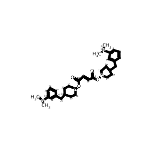 CN(C)c1cccc(CC2CCN(OC(=O)/C=C/C(=O)ON3CCC(Cc4cccc(N(C)C)c4)CC3)CC2)c1